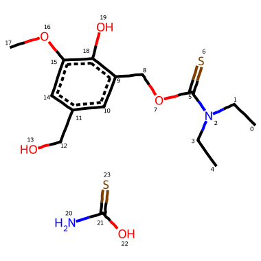 CCN(CC)C(=S)OCc1cc(CO)cc(OC)c1O.NC(O)=S